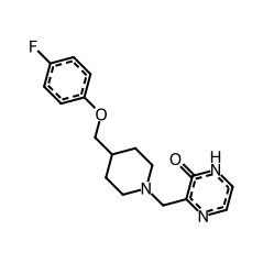 O=c1[nH]ccnc1CN1CCC(COc2ccc(F)cc2)CC1